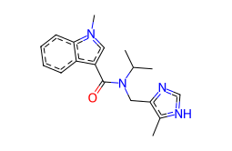 Cc1[nH]cnc1CN(C(=O)c1cn(C)c2ccccc12)C(C)C